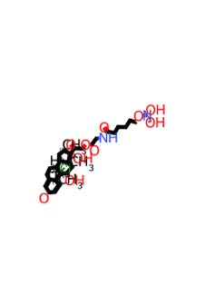 C[C@H]1C[C@H]2[C@@H]3CCC4=CC(=O)C=C[C@]4(C)[C@@]3(Cl)[C@@H](O)C[C@]2(C)[C@@]1(O)C(=O)COC(=O)CNC(=O)CCCCCON(O)O